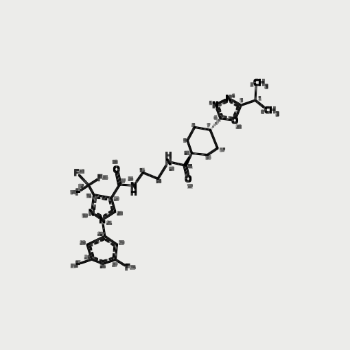 CC(C)c1nnc([C@H]2CC[C@H](C(=O)NCCNC(=O)c3cn(-c4cc(F)cc(F)c4)nc3C(F)(F)F)CC2)o1